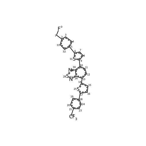 FCc1ccc(-c2ccc(-c3ccc(-c4ccc(-c5ccc(C(F)(F)F)cc5)s4)c4nsnc34)s2)cc1